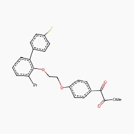 COC(=O)C(=O)c1ccc(OCCOc2c(-c3ccc(F)cc3)cccc2C(C)C)cc1